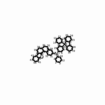 c1ccc(N(c2ccc(C3(c4ccccc4)c4ccccc4-c4ccccc43)cc2)c2ccc3c(ccc4ccc5c6ccccc6oc5c43)c2)cc1